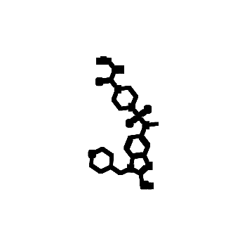 CCCCNC(=O)N1CCN(S(=O)(=O)N(C)c2ccc3c(c2)nc(C(C)(C)C)n3CC2CCOCC2)CC1